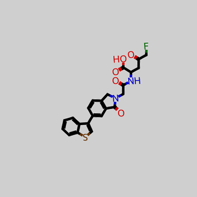 O=C(CF)CC(NC(=O)CN1Cc2ccc(-c3csc4ccccc34)cc2C1=O)C(=O)O